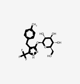 Cc1ccc(Cc2c(O[C@@H]3O[C@H](CO)[C@@H](O)[C@H](O)[C@H]3O)n[nH]c2C(F)(F)F)cc1